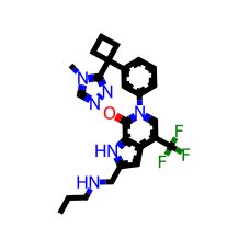 CCCNCc1cc2c(C(F)(F)F)cn(-c3cccc(C4(c5nncn5C)CCC4)c3)c(=O)c2[nH]1